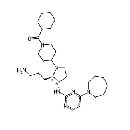 NCCC[C@@H]1[C@@H](Nc2nccc(N3CCCCCC3)n2)CCN1C1CCN(C(=O)C2CCCCC2)CC1